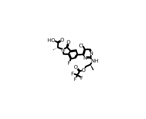 C[C@H](C(=O)O)N1Cc2c(F)cc(-c3nc(N[C@@H](C)COC(=O)C(F)(F)F)ncc3Cl)cc2C1=O